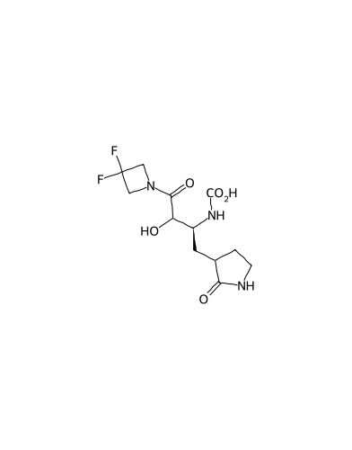 O=C(O)N[C@@H](CC1CCNC1=O)C(O)C(=O)N1CC(F)(F)C1